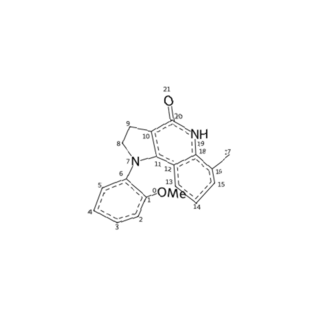 COc1ccccc1N1CCc2c1c1cccc(C)c1[nH]c2=O